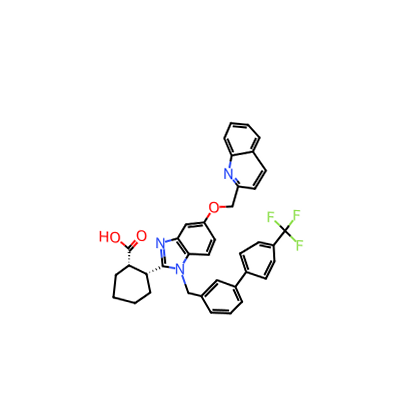 O=C(O)[C@H]1CCCC[C@H]1c1nc2cc(OCc3ccc4ccccc4n3)ccc2n1Cc1cccc(-c2ccc(C(F)(F)F)cc2)c1